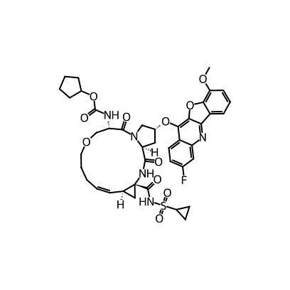 COc1cccc2c1oc1c(O[C@@H]3C[C@H]4C(=O)N[C@]5(C(=O)NS(=O)(=O)C6CC6)C[C@H]5/C=C\CCCOC[C@H](NC(=O)OC5CCCC5)C(=O)N4C3)c3ccc(F)cc3nc12